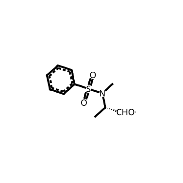 C[C@@H]([C]=O)N(C)S(=O)(=O)c1ccccc1